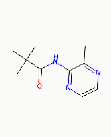 Cc1nccnc1NC(=O)C(C)(C)C